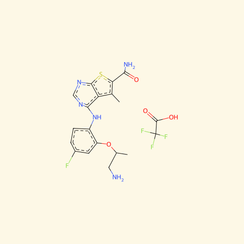 Cc1c(C(N)=O)sc2ncnc(Nc3ccc(F)cc3OC(C)CN)c12.O=C(O)C(F)(F)F